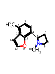 Cc1ccc([C@@H]2CCCN2C)c2occc12